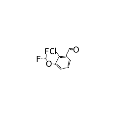 O=Cc1cccc(OC(F)F)c1Cl